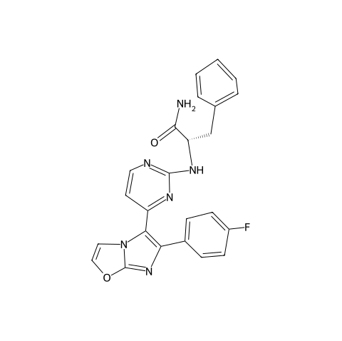 NC(=O)[C@H](Cc1ccccc1)Nc1nccc(-c2c(-c3ccc(F)cc3)nc3occn23)n1